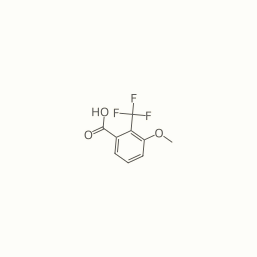 COc1cccc(C(=O)O)c1C(F)(F)F